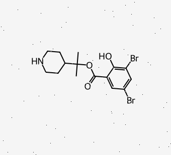 CC(C)(OC(=O)c1cc(Br)cc(Br)c1O)C1CCNCC1